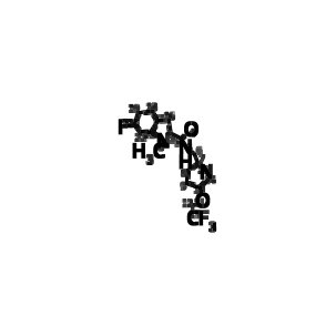 Cn1c(C(=O)NCc2ccc(OCC(F)(F)F)cn2)cc2ccc(F)cc21